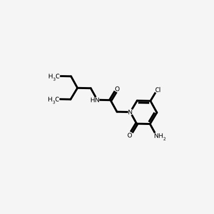 CCC(CC)CNC(=O)Cn1cc(Cl)cc(N)c1=O